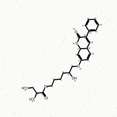 CCC(C)C(=O)OCCCCC(O)COC1=CC2OC(=O)C(c3ccccc3)=CC2C=C1